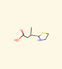 CC(CC(=O)O)C1NCCS1